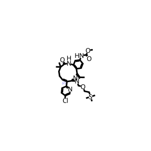 COC(=O)Nc1ccc2c(c1)NC(=O)C(C)(C)CC/C=C(/c1ccc(Cl)cn1)c1nc-2c(C)n1COCCS(C)(C)C